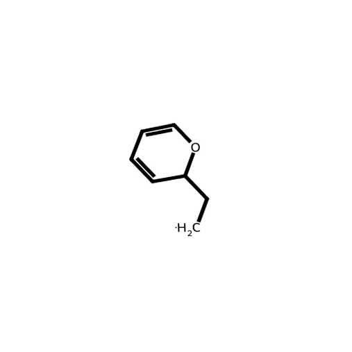 [CH2]CC1C=CC=CO1